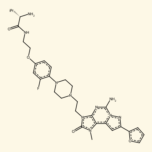 CC(C)[C@H](N)C(=O)NCCOc1ccc(N2CCN(CCn3c(=O)n(C)c4c3nc(N)n3nc(-c5ccco5)cc43)CC2)c(F)c1